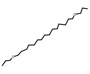 CCCOCCCCCCC[CH]CCCCCCCOCCC